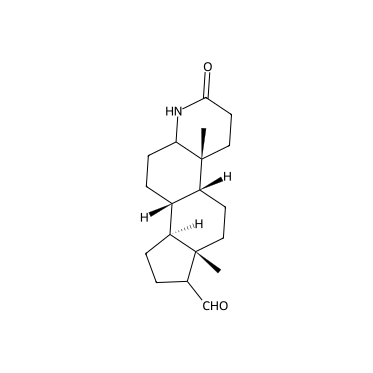 C[C@]12CCC(=O)NC1CC[C@@H]1[C@H]2CC[C@]2(C)C(C=O)CC[C@@H]12